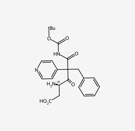 CC(C)(C)OC(=O)NC(=O)C(Cc1ccccc1)(C(=O)[C@H](N)CC(=O)O)c1ccncc1